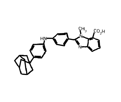 Cn1c(-c2ccc(Nc3ccc(C45CC6CC(CC(C6)C4)C5)cc3)cc2)nc2cccc(C(=O)O)c21